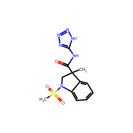 CC1(C(=O)Nc2nnn[nH]2)CN(S(C)(=O)=O)c2ccccc21